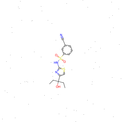 CCC(O)(CC)c1csc(NS(=O)(=O)c2cccc(C#N)c2)n1